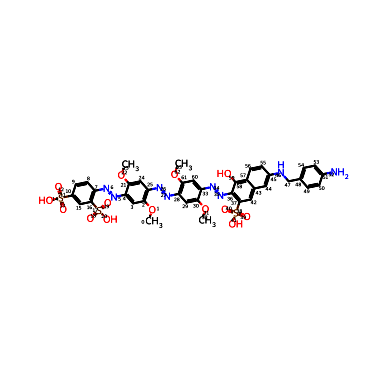 COc1cc(N=Nc2ccc(S(=O)(=O)O)cc2S(=O)(=O)O)c(OC)cc1N=Nc1cc(OC)c(N=Nc2c(S(=O)(=O)O)cc3cc(NCc4ccc(N)cc4)ccc3c2O)cc1OC